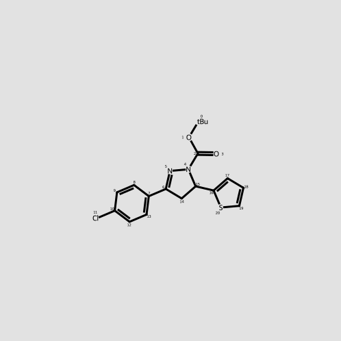 CC(C)(C)OC(=O)N1N=C(c2ccc(Cl)cc2)CC1c1cccs1